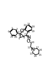 c1ccc(C23CC2C(=NOCCN2CCCCC2)c2ccccc2O3)cc1